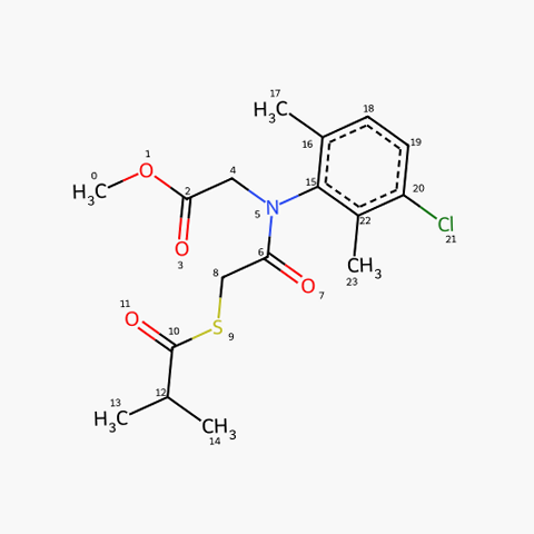 COC(=O)CN(C(=O)CSC(=O)C(C)C)c1c(C)ccc(Cl)c1C